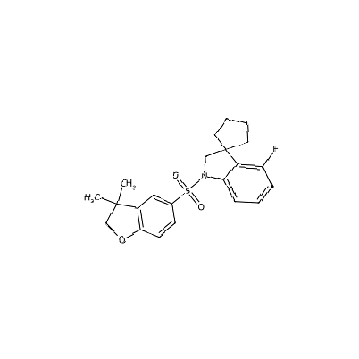 CC1(C)COc2ccc(S(=O)(=O)N3CC4(CCCC4)c4c(F)cccc43)cc21